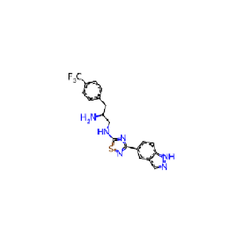 N[C@H](CNc1nc(-c2ccc3[nH]ncc3c2)ns1)Cc1ccc(C(F)(F)F)cc1